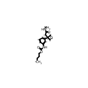 CCCCOC(=O)Nc1cccc(C2(CC(=O)NN)COC2)c1